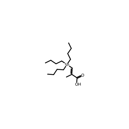 CCC[CH2][Sn](/[CH]=C(\C)C(=O)O)([CH2]CCC)[CH2]CCC